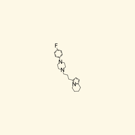 Fc1ccc(N2CCN(CCCc3ccc4n3CCCC4)CC2)cc1